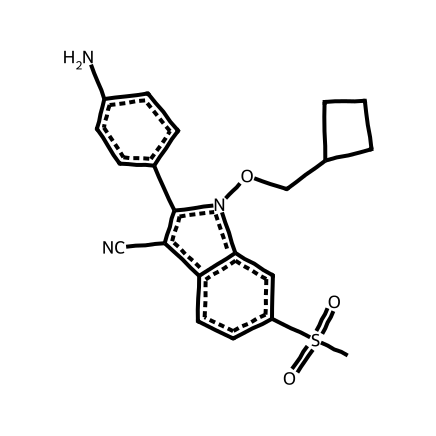 CS(=O)(=O)c1ccc2c(C#N)c(-c3ccc(N)cc3)n(OCC3CCC3)c2c1